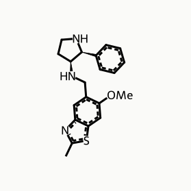 COc1cc2sc(C)nc2cc1CN[C@H]1CCN[C@H]1c1ccccc1